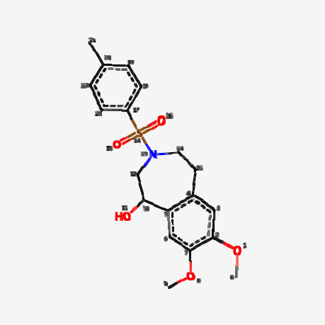 COc1cc2c(cc1OC)C(O)CN(S(=O)(=O)c1ccc(C)cc1)CC2